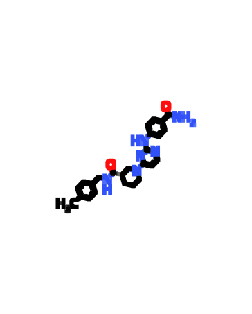 Cc1ccc(CNC(=O)[C@H]2CCCN(c3ccnc(Nc4ccc(C(N)=O)cc4)n3)C2)cc1